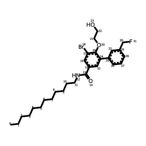 CCCCCCCCCCCCNC(=O)c1cc(Br)c(OCCO)c(-c2cccc(CF)c2)c1